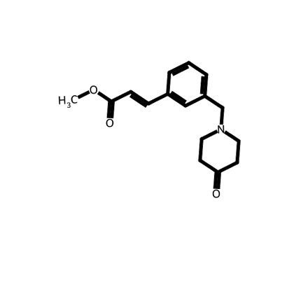 COC(=O)/C=C/c1cccc(CN2CCC(=O)CC2)c1